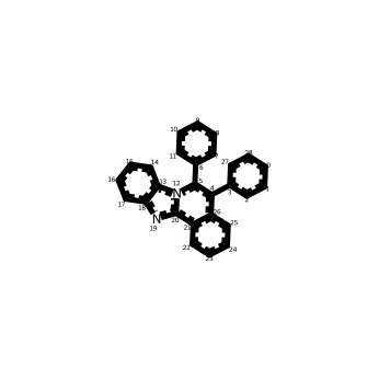 c1ccc(-c2c(-c3ccccc3)n3c4ccccc4nc3c3ccccc23)cc1